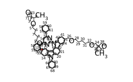 CCC1(COCCCCCOCc2ccc3c(c2)c2c(ccc4c5cc(COCCCCCOCC6(CC)COC6)ccc5n(-c5nc(-c6ccccc6)cc(-c6ccccc6)n5)c42)n3-c2ccccc2)COC1